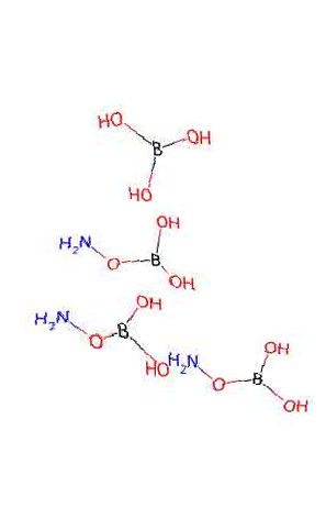 NOB(O)O.NOB(O)O.NOB(O)O.OB(O)O